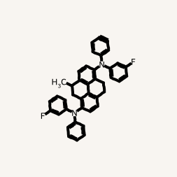 CC1Cc2c(N(c3ccccc3)c3cccc(F)c3)ccc3c2-c2c1ccc(N(c1cc#ccc1)c1cccc(F)c1)c2CC3